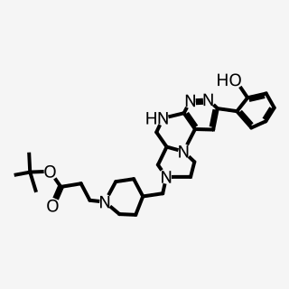 CC(C)(C)OC(=O)CCN1CCC(CN2CCN3c4cc(-c5ccccc5O)nnc4NCC3C2)CC1